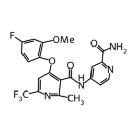 COc1cc(F)ccc1Oc1cc(C(F)(F)F)nc(C)c1C(=O)Nc1ccnc(C(N)=O)c1